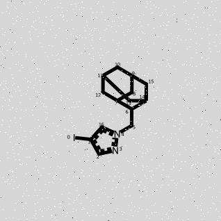 Ic1cnn(CC2C3CC4CC(C3)CC2C4)c1